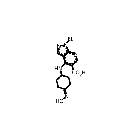 CCn1ncc2c(NC3CCC(=NO)CC3)c(C(=O)O)cnc21